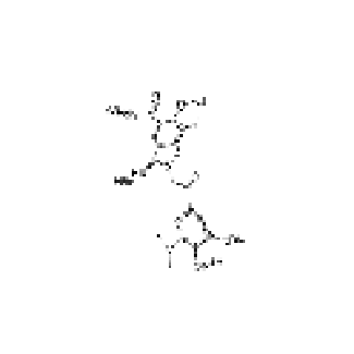 Br.CCOc1c(C(=O)NC)cc2c(c1F)CN(CC(=O)c1cc(N(C)C)c(OC)c(C(C)(C)C)c1)C2=N